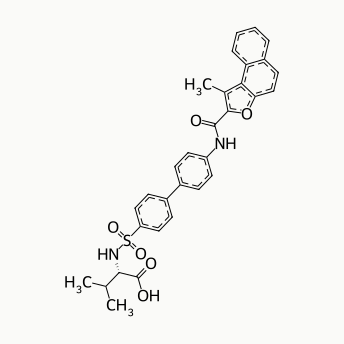 Cc1c(C(=O)Nc2ccc(-c3ccc(S(=O)(=O)N[C@H](C(=O)O)C(C)C)cc3)cc2)oc2ccc3ccccc3c12